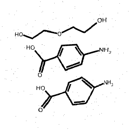 Nc1ccc(C(=O)O)cc1.Nc1ccc(C(=O)O)cc1.OCCOCCO